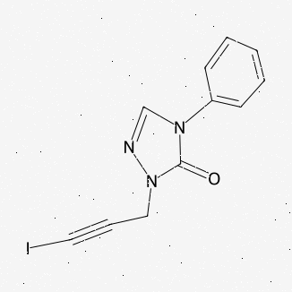 O=c1n(-c2ccccc2)cnn1CC#CI